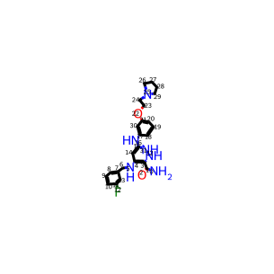 NC(=O)C1=C(NCc2cccc(F)c2)C=C(Nc2cccc(OCCN3CCCC3)c2)NN1